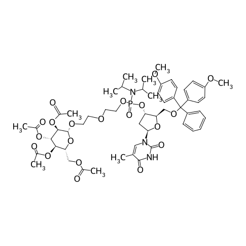 COc1ccc(C(OC[C@H]2O[C@@H](n3cc(C)c(=O)[nH]c3=O)C[C@@H]2OP(=O)(OCCOCCO[C@@H]2O[C@H](COC(C)=O)[C@@H](OC(C)=O)[C@H](OC(C)=O)[C@H]2OC(C)=O)N(C(C)C)C(C)C)(c2ccccc2)c2ccc(OC)cc2)cc1